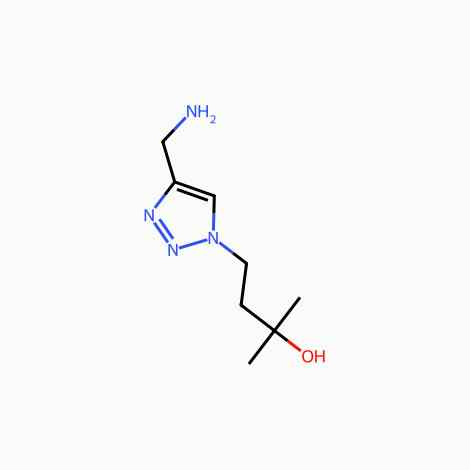 CC(C)(O)CCn1cc(CN)nn1